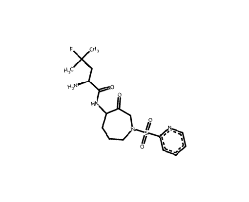 CC(C)(F)C[C@H](N)C(=O)NC1CCCN(S(=O)(=O)c2ccccn2)CC1=O